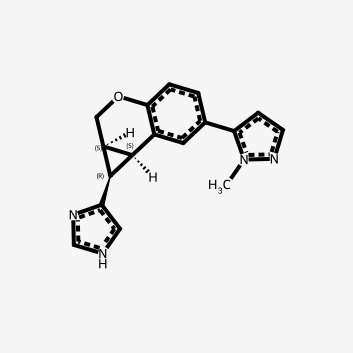 Cn1nccc1-c1ccc2c(c1)[C@@H]1[C@H](CO2)[C@@H]1c1c[nH]cn1